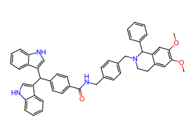 COc1cc2c(cc1OC)C(c1ccccc1)N(Cc1ccc(CNC(=O)c3ccc(C(c4c[nH]c5ccccc45)c4c[nH]c5ccccc45)cc3)cc1)CC2